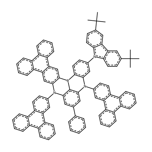 CC(C)(C)c1ccc2c(c1)c1cc(C(C)(C)C)ccc1n2-c1ccc2c(c1)N(c1ccc3c4ccccc4c4ccccc4c3c1)c1cc(-c3ccccc3)cc3c1B2c1cc2c4ccccc4c4ccccc4c2cc1N3c1ccc2c3ccccc3c3ccccc3c2c1